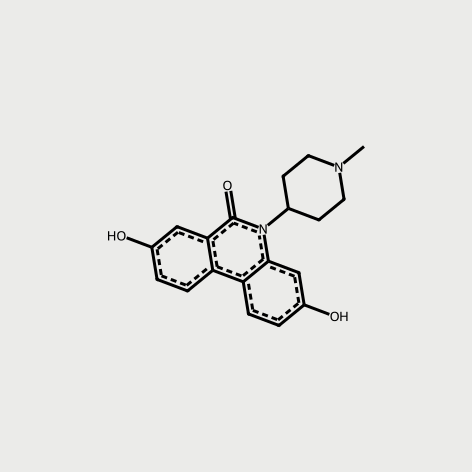 CN1CCC(n2c(=O)c3cc(O)ccc3c3ccc(O)cc32)CC1